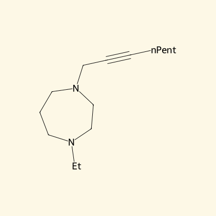 CCCCCC#CCN1CCCN(CC)CC1